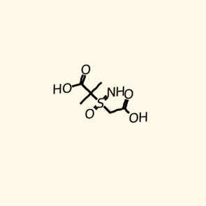 CC(C)(C(=O)O)S(=N)(=O)CC(=O)O